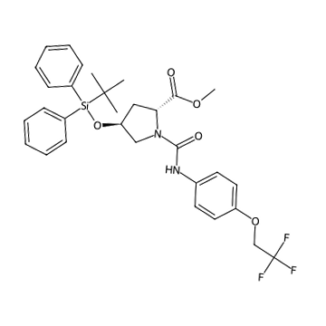 COC(=O)[C@H]1C[C@H](O[Si](c2ccccc2)(c2ccccc2)C(C)(C)C)CN1C(=O)Nc1ccc(OCC(F)(F)F)cc1